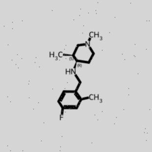 Cc1cc(F)ccc1CN[C@@H]1CCN(C)C[C@@H]1C